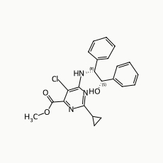 COC(=O)c1nc(C2CC2)nc(N[C@H](c2ccccc2)[C@@H](O)c2ccccc2)c1Cl